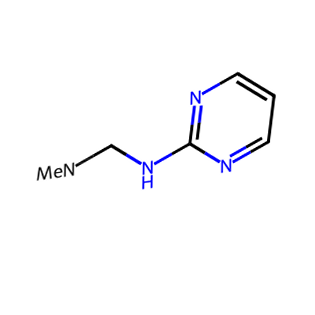 CNCNc1ncccn1